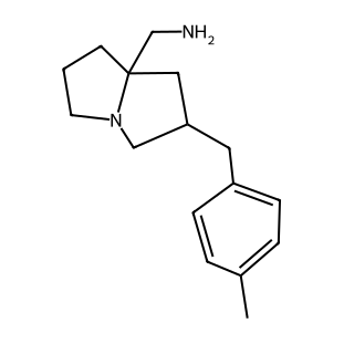 Cc1ccc(CC2CN3CCCC3(CN)C2)cc1